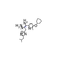 Cc1nc(/C(N)=C(\Cc2nc(CC(C)C)no2)N(C)N)ccc1OC1CCCCC1